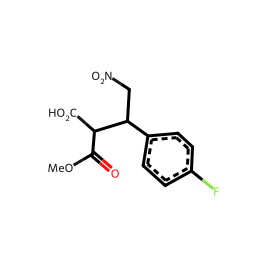 COC(=O)C(C(=O)O)C(C[N+](=O)[O-])c1ccc(F)cc1